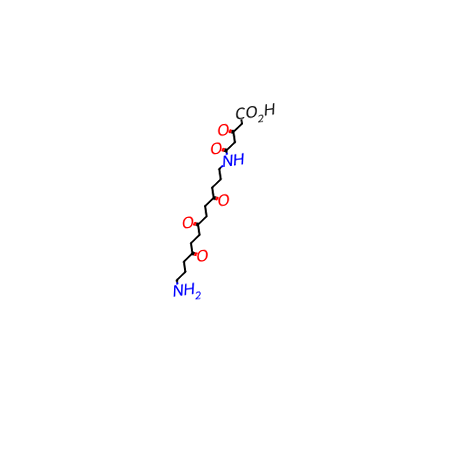 NCCCC(=O)CCC(=O)CCC(=O)CCCNC(=O)CC(=O)CC(=O)O